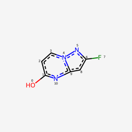 Oc1ccn2nc(F)cc2n1